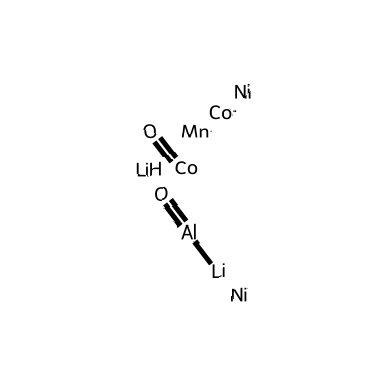 [Co].[LiH].[Li][Al]=[O].[Mn].[Ni].[Ni].[O]=[Co]